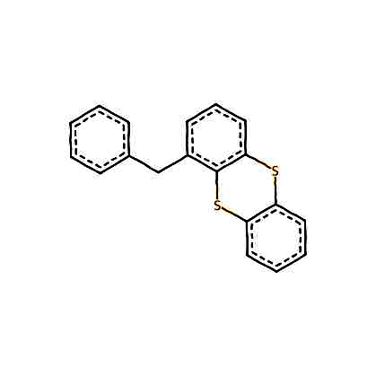 c1ccc(Cc2cccc3c2Sc2ccccc2S3)cc1